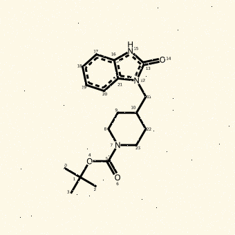 CC(C)(C)OC(=O)N1CCC(Cn2c(=O)[nH]c3ccccc32)CC1